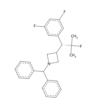 CC(C)(F)[C@@H](c1cc(F)cc(F)c1)C1CN(C(c2ccccc2)c2ccccc2)C1